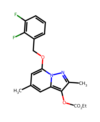 CCOC(=O)Oc1c(C)nn2c(OCc3cccc(F)c3F)cc(C)cc12